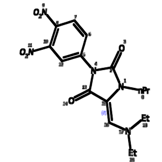 CCCN1C(=O)N(c2ccc([N+](=O)[O-])c([N+](=O)[O-])c2)C(=O)/C1=C/N(CC)CC